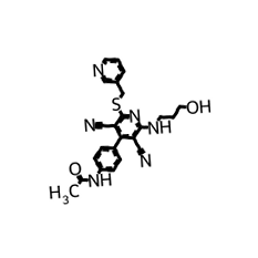 CC(=O)Nc1ccc(-c2c(C#N)c(NCCCO)nc(SCc3cccnc3)c2C#N)cc1